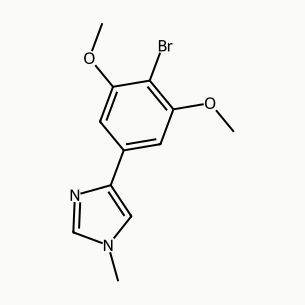 COc1cc(-c2cn(C)cn2)cc(OC)c1Br